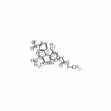 CCOC(=O)CO/N=C(/C)C1=C(C)NC(C)=C(C(=O)O)C1c1cccc([N+](=O)[O-])c1